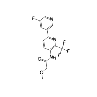 COCC(=O)Nc1ccc(-c2cncc(F)c2)nc1C(F)(F)F